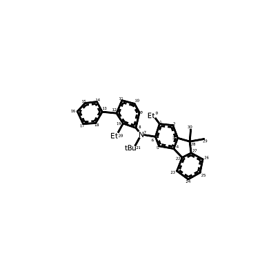 CCc1cc2c(cc1N(c1cccc(-c3ccccc3)c1CC)C(C)(C)C)-c1ccccc1C2(C)C